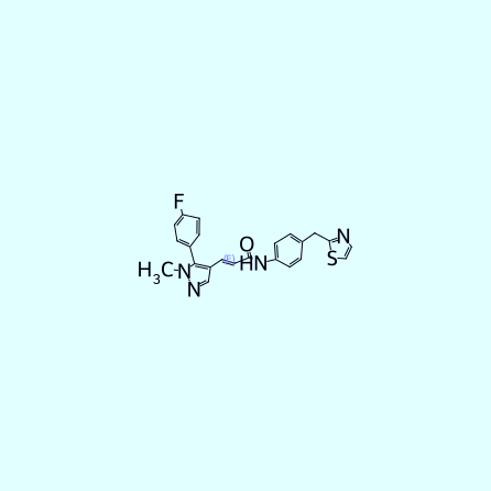 Cn1ncc(/C=C/C(=O)Nc2ccc(Cc3nccs3)cc2)c1-c1ccc(F)cc1